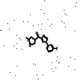 C[C@H]1CN(C(=O)c2ncn(-c3cccc(F)c3)n2)CCN1